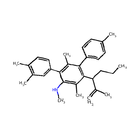 C=C(C)C(CCC)c1c(C)c(NC)c(-c2ccc(C)c(C)c2)c(C)c1-c1ccc(C)cc1